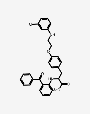 COC(=O)C(Cc1ccc(OCCNc2cccc(Cl)c2)cc1)Nc1ccccc1C(=O)c1ccccc1